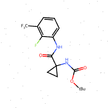 CC(C)(C)OC(=O)NC1(C(=O)Nc2cccc(C(F)(F)F)c2F)CC1